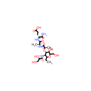 CCC1OC(CO)C(O)C(O[C@H](C)C(=O)N[C@@H](C)C(=O)N[C@H](CCC(=O)O)C(N)=O)C1NC(=O)[C@H](O)CO